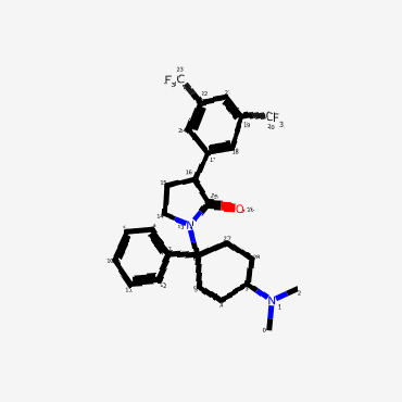 CN(C)C1CCC(c2ccccc2)(N2CCC(c3cc(C(F)(F)F)cc(C(F)(F)F)c3)C2=O)CC1